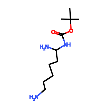 CC(C)(C)OC(=O)NC(N)CCCCCN